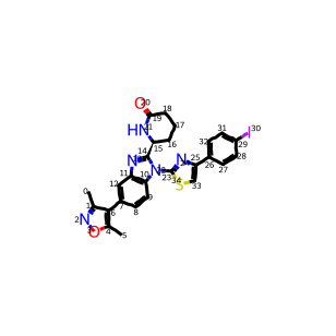 Cc1noc(C)c1-c1ccc2c(c1)nc([C@@H]1CCCC(=O)N1)n2-c1nc(-c2ccc(I)cc2)cs1